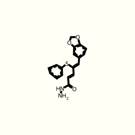 NNC(=O)C=CC(=Cc1ccc2c(c1)OCO2)Sc1ccccc1